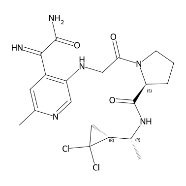 Cc1cc(C(=N)C(N)=O)c(NCC(=O)N2CCC[C@H]2C(=O)N[C@H](C)[C@H]2CC2(Cl)Cl)cn1